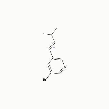 CC(C)/C=C/c1cncc(Br)c1